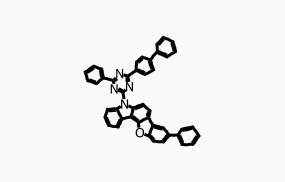 c1ccc(-c2ccc(-c3nc(-c4ccccc4)nc(-n4c5ccccc5c5c6oc7ccc(-c8ccccc8)cc7c6ccc54)n3)cc2)cc1